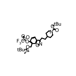 CC(C)(C)OC(=O)N1CCC(CCc2noc3c(CO[Si](C)(C)C(C)(C)C)c(OS(=O)(=O)C(F)(F)F)ccc23)CC1